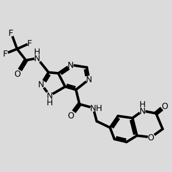 O=C1COc2ccc(CNC(=O)c3ncnc4c(NC(=O)C(F)(F)F)n[nH]c34)cc2N1